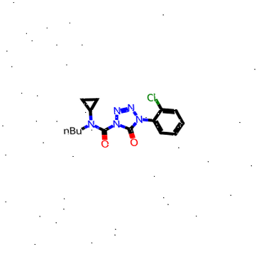 CCCCN(C(=O)n1nnn(-c2ccccc2Cl)c1=O)C1CC1